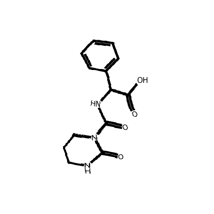 O=C(O)C(NC(=O)N1CCCNC1=O)c1ccccc1